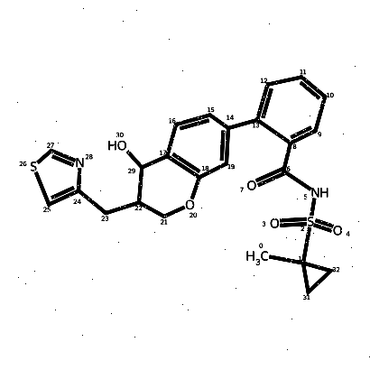 CC1(S(=O)(=O)NC(=O)c2ccccc2-c2ccc3c(c2)OCC(Cc2cscn2)C3O)CC1